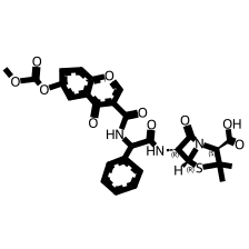 COC(=O)Oc1ccc2occ(C(=O)NC(C(=O)N[C@@H]3C(=O)N4[C@@H]3SC(C)(C)[C@@H]4C(=O)O)c3ccccc3)c(=O)c2c1